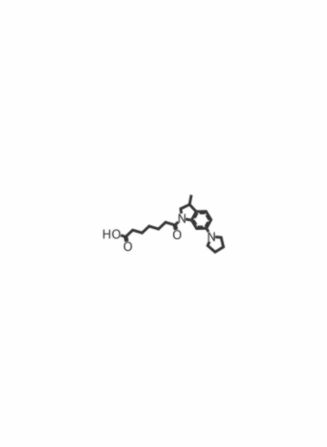 CC1CN(C(=O)CCCCCC(=O)O)c2cc(N3CCCC3)ccc21